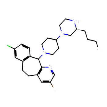 CCCC[C@H]1CN(C2CCN(C3c4ccc(Cl)cc4CCc4cc(Br)cnc43)CC2)CCN1